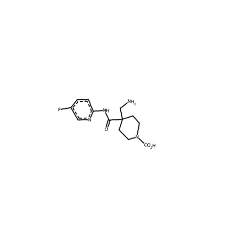 NCC1(C(=O)Nc2ccc(F)cn2)CCN(C(=O)O)CC1